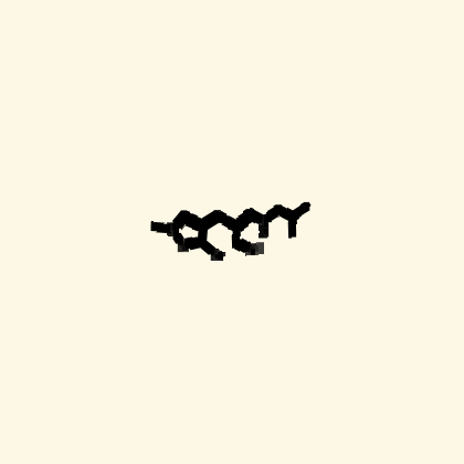 CC(C)CN/C=C(\C=N)Cc1cn(C)nc1Br